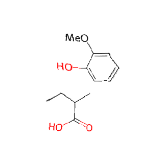 CCC(C)C(=O)O.COc1ccccc1O